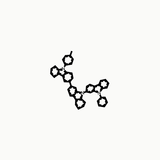 Cc1ccc(-n2c3ccccc3c3cc(-c4ccc5c6ccccc6n(-c6ccc7c8ccccc8n(-c8ccccc8)c7c6)c5c4)ccc32)cc1